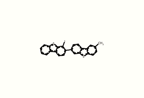 Cc1ccc2sc3cc(-c4ccc5c(sc6ccccc65)c4I)ccc3c2c1